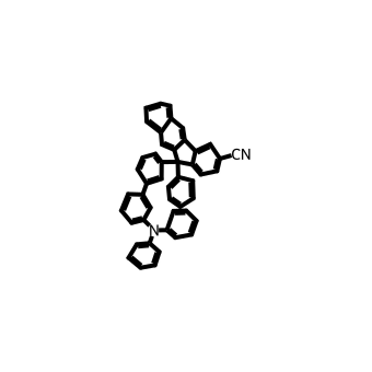 N#Cc1ccc2c(c1)-c1cc3ccccc3cc1C2(c1ccccc1)c1cccc(-c2cccc(N(c3ccccc3)c3ccccc3)c2)c1